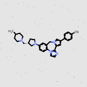 CC1CCN(C[C@@H]2CCN(c3ccc4c(c3)Cn3cc(-c5ccc(C#N)cc5)cc3-c3nccn3-4)C2)CC1